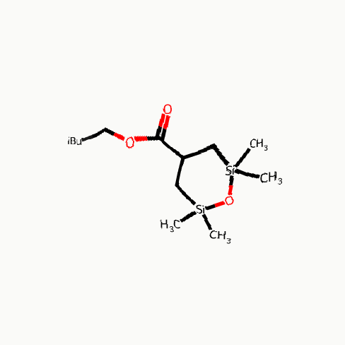 CCC(C)COC(=O)C1C[Si](C)(C)O[Si](C)(C)C1